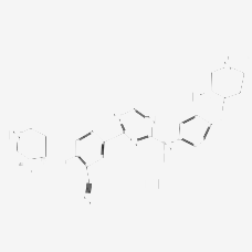 CN1CCC(Oc2ccc(Nc3ncnc(-c4ccc(O[C@H]5CCNC[C@H]5F)c(C#N)c4)n3)cc2)[C@@H](F)C1.Cl